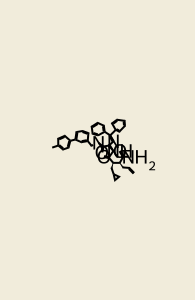 C=CC[C@H](C(N)=O)[C@@H](CC1CC1)C(=O)NC1N=C(c2ccccc2)c2ccccc2N(Cc2cccc(-c3ccc(C)cc3)c2)C1=O